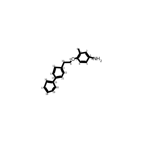 Cc1cc(N)ccc1OCCc1ccc(-c2ccccc2)cc1